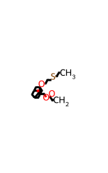 C=CC(=O)OCC12CC3CC(C1)CC(OCCCSCCC)(C3)C2